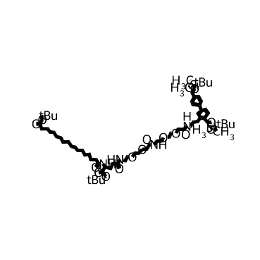 CC(C)(C)OC(=O)CCCCCCCCCCCCCCCCC(=O)NC(CCC(=O)NCCOCCOCC(=O)NCCOCCOCC(=O)NCCCc1cc(-c2ccc(CO[Si](C)(C)C(C)(C)C)cc2)ccc1CO[Si](C)(C)C(C)(C)C)C(=O)OC(C)(C)C